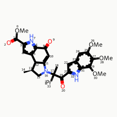 COC(=O)c1cc2c([nH]1)C(=O)C=C1C2[C@H](C)CN1C(C)(C(=O)c1cc2cc(OC)c(OC)c(OC)c2[nH]1)C(C)C